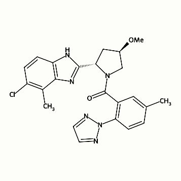 CO[C@@H]1C[C@@H](c2nc3c(C)c(Cl)ccc3[nH]2)N(C(=O)c2cc(C)ccc2-n2nccn2)C1